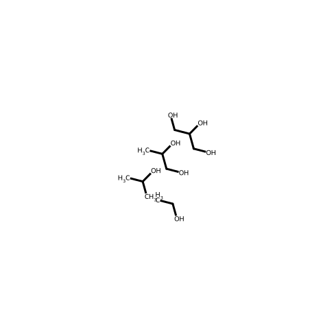 CC(C)O.CC(O)CO.CCO.OCC(O)CO